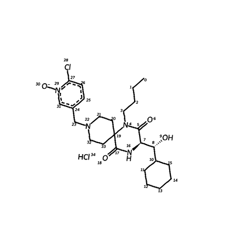 CCCCN1C(=O)[C@@H]([C@H](O)C2CCCCC2)NC(=O)C12CCN(Cc1ccc(Cl)[n+]([O-])c1)CC2.Cl